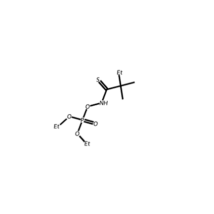 CCOP(=O)(OCC)ONC(=S)C(C)(C)CC